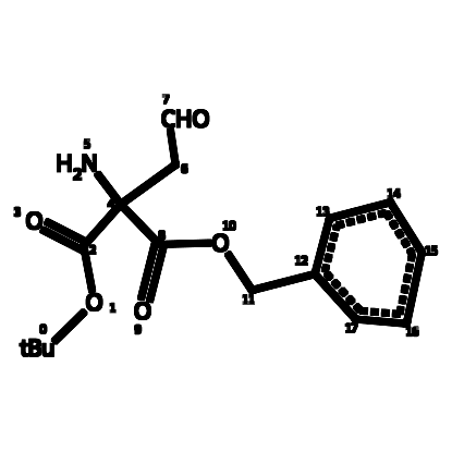 CC(C)(C)OC(=O)C(N)(CC=O)C(=O)OCc1ccccc1